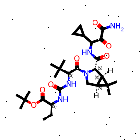 CC[C@H](NC(=O)N[C@H](C(=O)N1C[C@H]2[C@@H]([C@H]1C(=O)NC(C(=O)C(N)=O)C1CC1)C2(C)C)C(C)(C)C)C(=O)OC(C)(C)C